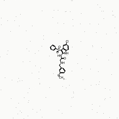 COc1cccc(CNCC(=O)Nc2[nH]c3ccc(Cl)cc3c2S(=O)(=O)c2ccccc2)c1